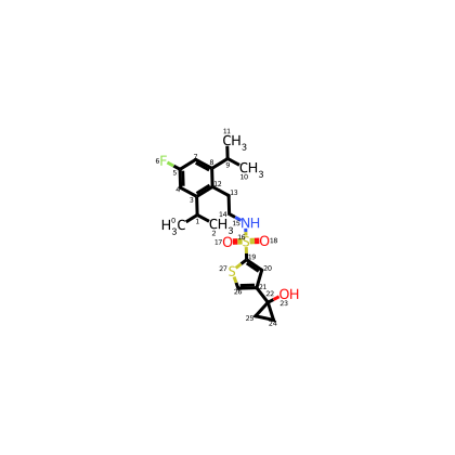 CC(C)c1cc(F)cc(C(C)C)c1CCNS(=O)(=O)c1cc(C2(O)CC2)cs1